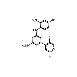 CC(=O)Nc1cc(Nc2ccc(Br)cc2[N+](=O)[O-])cc(-c2cc(F)ccc2F)c1